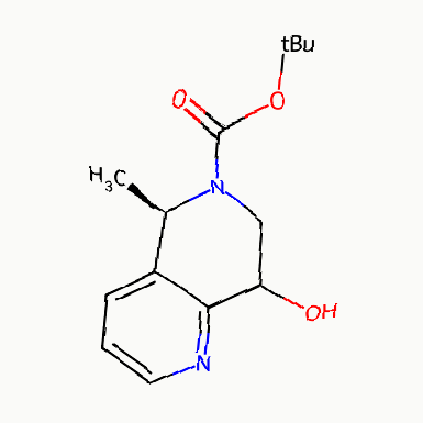 C[C@@H]1c2cccnc2C(O)CN1C(=O)OC(C)(C)C